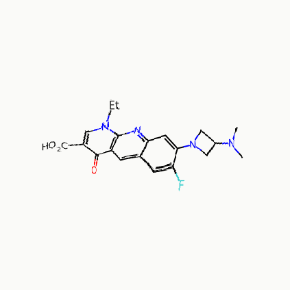 CCn1cc(C(=O)O)c(=O)c2cc3cc(F)c(N4CC(N(C)C)C4)cc3nc21